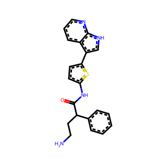 NCCC(C(=O)Nc1ccc(-c2c[nH]c3ncccc23)s1)c1ccccc1